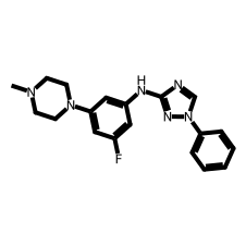 CN1CCN(c2cc(F)cc(Nc3ncn(-c4ccccc4)n3)c2)CC1